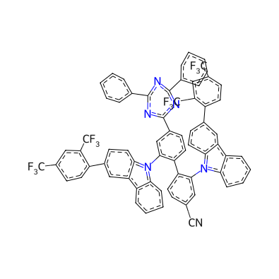 N#Cc1ccc(-c2ccc(-c3nc(-c4ccccc4)nc(-c4ccccc4)n3)cc2-n2c3ccccc3c3cc(-c4ccc(C(F)(F)F)cc4C(F)(F)F)ccc32)c(-n2c3ccccc3c3cc(-c4ccc(C(F)(F)F)cc4C(F)(F)F)ccc32)c1